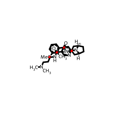 COc1cccc(C(=O)N[C@H]2C[C@H]3CC[C@@H](C2)N3c2ccc(C(=O)NCCCN(C)C)cn2)c1C